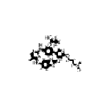 Cc1cnc(Nc2ccc(-c3ccc(OCCCN(C)C)nc3)cc2)nc1Nc1ccc2oc(=O)[nH]c2c1.O=C(O)C(F)(F)F